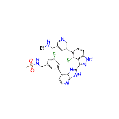 CCNCc1cncc(-c2ccc3[nH]nc(-c4nc5c(-c6cc(F)cc(CNS(C)(=O)=O)c6)ccnc5[nH]4)c3c2F)c1